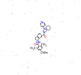 COc1cc(C)c(C(=O)NC2CCc3ccc(C(=O)N4CN(c5ccncc5)C5(CCCCC5)C4)cc32)c(C)c1